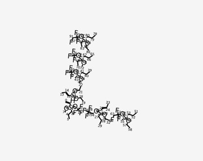 C=C[Si](CCC)(OC)OC(F)(F)F.CC=C[SiH](OCC)OCC.CC=C[Si](CCC)(OCC)OCC(F)(F)F.CCC[Si](C)(OC)OC(F)(F)F.CCC[Si](C)(OCC)OC(F)(F)CF.CCC[Si](CC)(OC)OC(F)(F)F.CCC[Si](CC)(OCC)OC(F)(F)CF